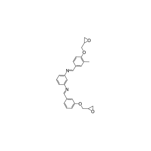 Cc1cc(C=Nc2cccc(N=Cc3cccc(OCC4CO4)c3)c2)ccc1OCC1CO1